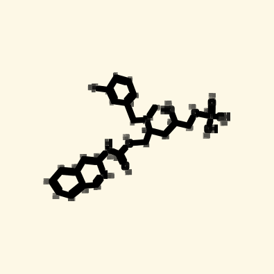 CN(Cc1cccc(F)c1)C(COC(=O)Nc1cc2ccccc2cn1)CC(O)COP(=O)(O)O